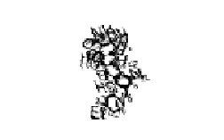 CCC1(C)CCN(Cc2cc(N(C)C)c3c(c2O)C(=O)C2=C(O)[C@]4(O)C(=O)C(C(N)=O)=C(O)[C@@H](N(C)C)[C@@H]4C[C@@H]2C3)CC1